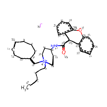 CCCC[N+]1(CC2CCCCCCC2)CCC(NC(=O)C2c3ccccc3Oc3ccccc32)CC1.[I-]